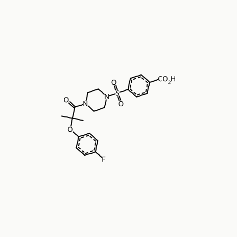 CC(C)(Oc1ccc(F)cc1)C(=O)N1CCN(S(=O)(=O)c2ccc(C(=O)O)cc2)CC1